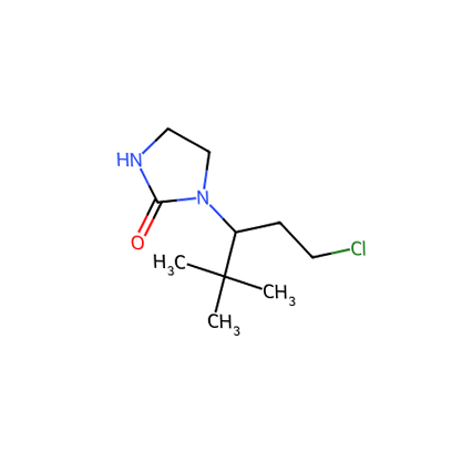 CC(C)(C)C(CCCl)N1CCNC1=O